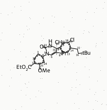 CCOC(=O)c1ccc(N2C=C(C(C)C)[C@](C)(c3ccc(CCC(C)(C)C)c(Cl)c3)NC2=O)cc1OC